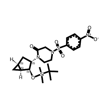 CC(C)(C)[Si](C)(C)O[C@H]1[C@H]2C[C@H]2C[C@@H]1N1CCN(S(=O)(=O)c2ccc([N+](=O)[O-])cc2)CC1=O